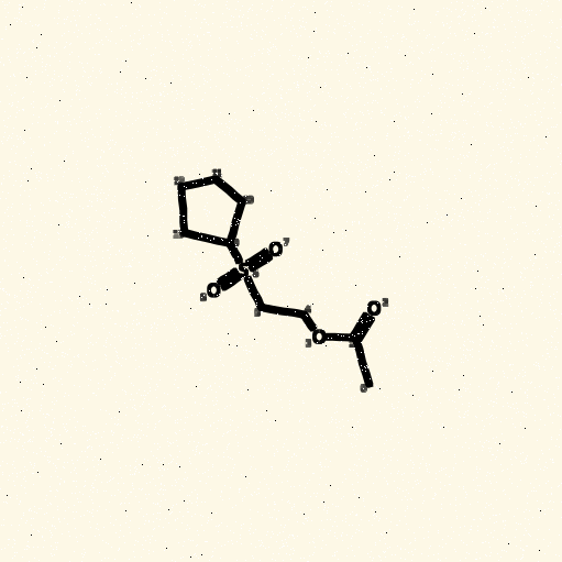 CC(=O)OCCS(=O)(=O)C1CCCC1